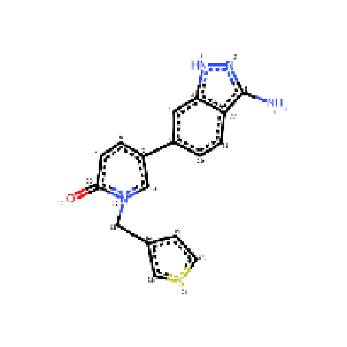 Nc1n[nH]c2cc(-c3ccc(=O)n(Cc4ccsc4)c3)ccc12